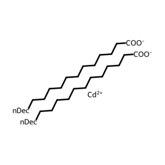 CCCCCCCCCCCCCCCCCCCCCC(=O)[O-].CCCCCCCCCCCCCCCCCCCCCC(=O)[O-].[Cd+2]